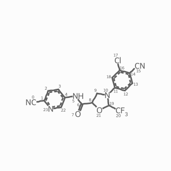 N#Cc1ccc(NC(=O)C2CN(c3ccc(C#N)c(Cl)c3)C(C(F)(F)F)O2)cn1